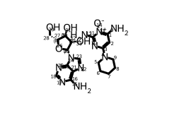 Nc1cc(N2CCCCC2)nc(N)[n+]1[O-].Nc1ncnc2c1ncn2[C@@H]1O[C@H](CO)[C@@H](O)[C@H]1O